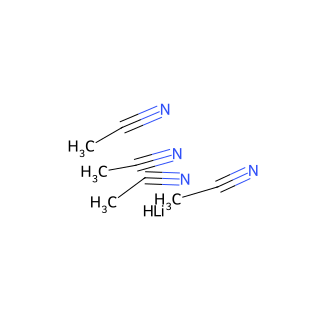 CC#N.CC#N.CC#N.CC#N.[LiH]